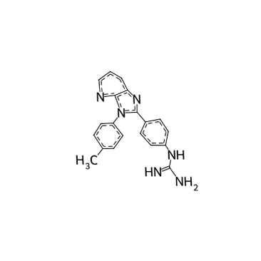 Cc1ccc(-n2c(-c3ccc(NC(=N)N)cc3)nc3cccnc32)cc1